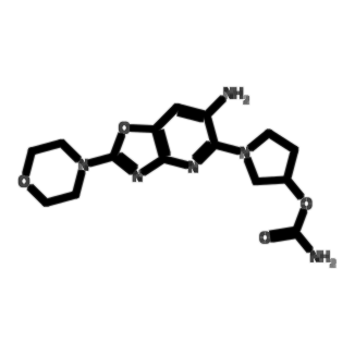 NC(=O)OC1CCN(c2nc3nc(N4CCOCC4)oc3cc2N)C1